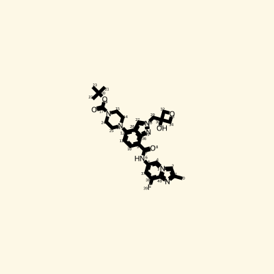 Cc1cn2cc(NC(=O)c3ccc(N4CCN(C(=O)OC(C)(C)C)CC4)c4cn(CC5(O)COC5)nc34)cc(F)c2n1